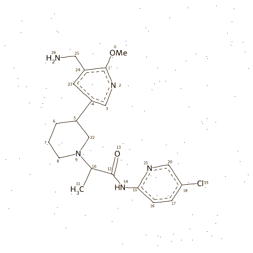 COc1ncc(C2CCCN(C(C)C(=O)Nc3ccc(Cl)cn3)C2)cc1CN